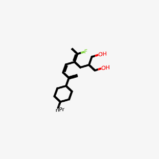 C=C(/C=C\C(CC(CO)CO)=C(/C)F)C1CCC(CCC)CC1